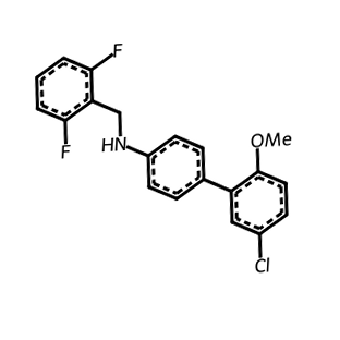 COc1ccc(Cl)cc1-c1ccc(NCc2c(F)cccc2F)cc1